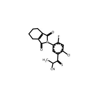 CC(C#N)C(=S)c1cc(N2C(=O)C3=C(CCCC3)C2=O)c(F)cc1Cl